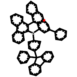 c1ccc(-c2cccc(N(c3ccc(C4(c5ccccc5)c5ccccc5-c5ccccc54)cc3)c3c(-c4cccc5ccccc45)c4ccccc4c4ccccc34)c2)cc1